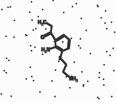 CCC(=O)c1cccc(SCCN)c1N